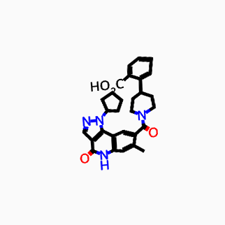 Cc1cc2[nH]c(=O)c3cnn(C4CCCC4)c3c2cc1C(=O)N1CCC(c2ccccc2C(=O)O)CC1